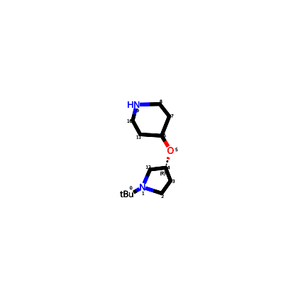 CC(C)(C)N1CC[C@@H](OC2CCNCC2)C1